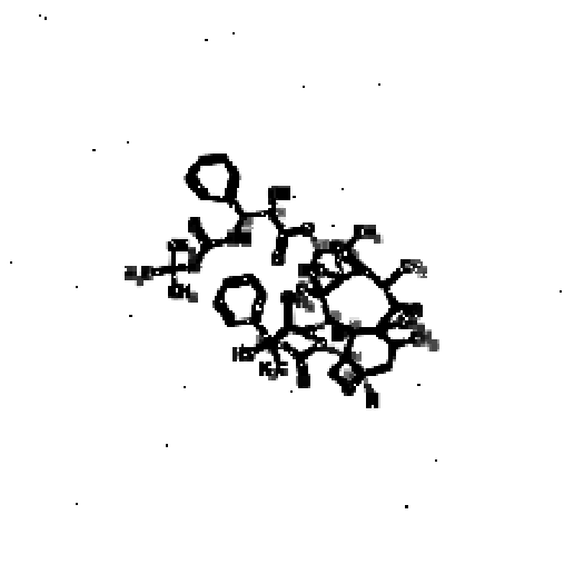 CC(=O)O[C@@]12CO[C@@H]1CC(C)C1(C)C(=O)C(C)C3=C(C)[C@@H](OC(=O)[C@H](O)[C@@H](NC(=O)OC(C)(C)C)c4ccccc4)CC(C)([C@@H](OC(=O)C(C)(O)c4ccccc4)[C@@H]12)C3(C)C